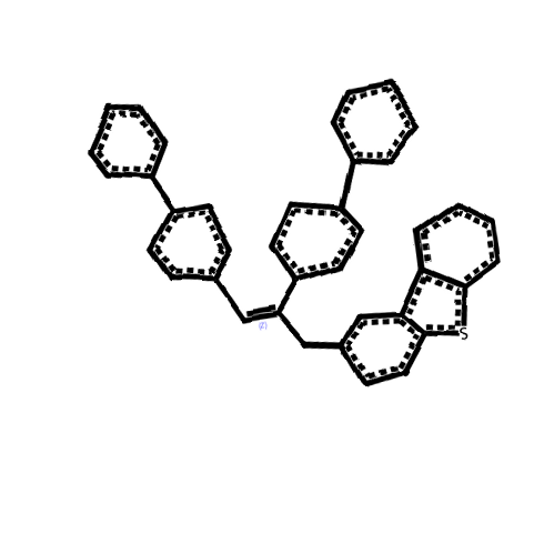 C(=C(\Cc1ccc2sc3ccccc3c2c1)c1ccc(-c2ccccc2)cc1)/c1ccc(-c2ccccc2)cc1